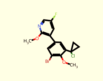 COc1ncc(F)cc1-c1cc(Br)c(OC)c(C2(Cl)CC2)c1